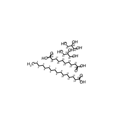 CCCCCCCCCCCCCCCC(=O)O.O=C(O)CCCCCCCCC(=O)O.OCC(O)CO.OCC(O)CO